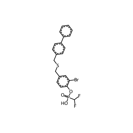 O=P(O)(Oc1ccc(CSCc2ccc(-c3ccccc3)cc2)cc1Br)C(F)F